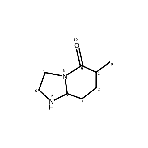 CC1CCC2NCCN2C1=O